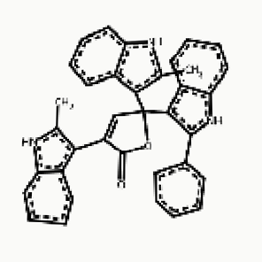 Cc1[nH]c2ccccc2c1C1=CC(c2c(C)[nH]c3ccccc23)(c2c(-c3ccccc3)[nH]c3ccccc23)OC1=O